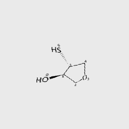 O[C@@H]1COC[C@H]1S